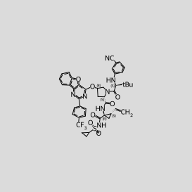 C=C[C@@H]1C[C@]1(NC(=O)[C@@H]1C[C@@H](Oc2nc(-c3ccc(C(F)(F)F)cc3)nc3c2oc2ccccc23)CN1C(=O)[C@@H](Nc1cccc(C#N)c1)C(C)(C)C)C(=O)NS(=O)(=O)C1CC1